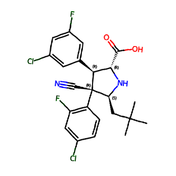 CC(C)(C)C[C@@H]1N[C@@H](C(=O)O)[C@H](c2cc(F)cc(Cl)c2)[C@@]1(C#N)c1ccc(Cl)cc1F